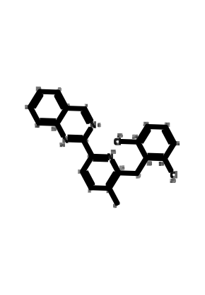 Cc1ccc(-c2ncc3ccccc3n2)nc1Cc1c(Cl)cccc1Cl